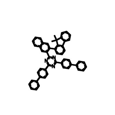 CC1(C)c2ccccc2-c2cccc(-c3cc4ccccc4cc3-c3nc(-c4ccc(-c5ccccc5)cc4)nc(-c4ccc(-c5ccccc5)cc4)n3)c21